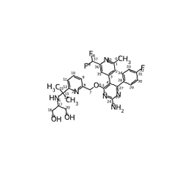 Cc1cc(-c2c(OCc3cccc(C(C)(C)NC(CO)CO)n3)nc(N)nc2-c2ccc(F)cc2)cc(C(F)F)n1